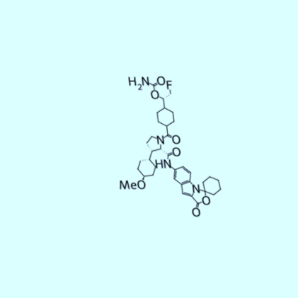 CO[C@H]1CC[C@H]([C@@H]2CCN(C(=O)C3CCC([C@@H](CF)OC(N)=O)CC3)[C@@H]2C(=O)Nc2ccc3c(c2)cc2n3C3(CCCCC3)OC2=O)CC1